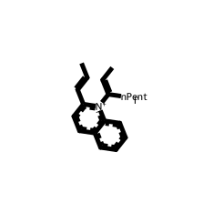 CC=Cc1ccc2ccccc2[n+]1C(=CC)CCCCC.[I-]